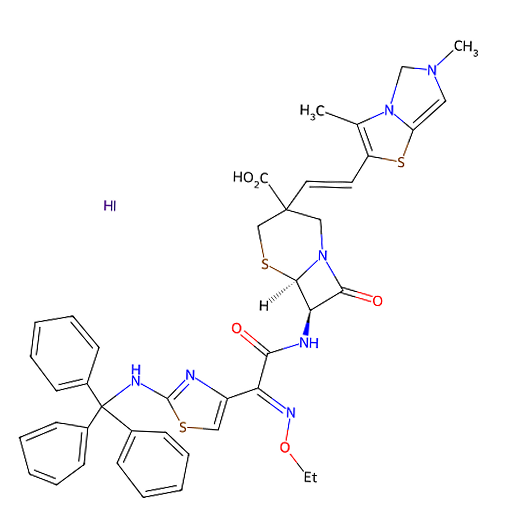 CCON=C(C(=O)N[C@@H]1C(=O)N2CC(C=CC3=C(C)N4CN(C)C=C4S3)(C(=O)O)CS[C@H]12)c1csc(NC(c2ccccc2)(c2ccccc2)c2ccccc2)n1.I